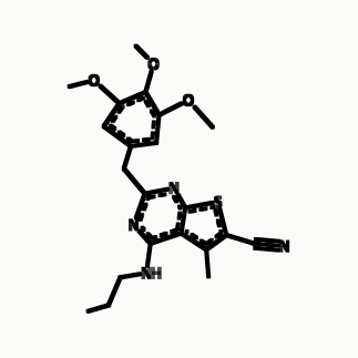 CCCNc1nc(Cc2cc(OC)c(OC)c(OC)c2)nc2sc(C#N)c(C)c12